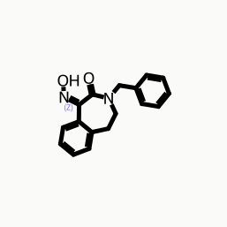 O=C1/C(=N\O)c2ccccc2CCN1Cc1ccccc1